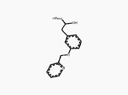 CCCCCC(O)Cc1cccc(OCc2ccccn2)c1